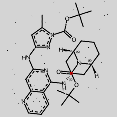 Cc1cc(Nc2cc3ncccc3c(N[C@H]3C[C@H]4CCC[C@@H](C3)N4C(=O)OC(C)(C)C)n2)nn1C(=O)OC(C)(C)C